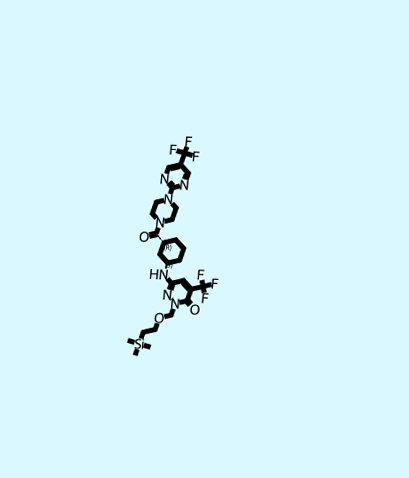 C[Si](C)(C)CCOCn1nc(N[C@H]2CCC[C@@H](C(=O)N3CCN(c4ncc(C(F)(F)F)cn4)CC3)C2)cc(C(F)(F)F)c1=O